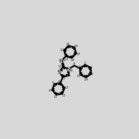 c1ccc(Cn2cc(-c3ccccc3)s/c2=N/c2ccccc2)cc1